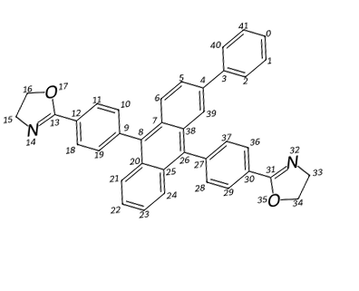 c1ccc(-c2ccc3c(-c4ccc(C5=NCCO5)cc4)c4ccccc4c(-c4ccc(C5=NCCO5)cc4)c3c2)cc1